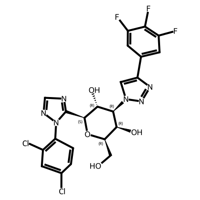 OC[C@H]1O[C@@H](c2ncnn2-c2ccc(Cl)cc2Cl)[C@H](O)[C@@H](n2cc(-c3cc(F)c(F)c(F)c3)nn2)[C@H]1O